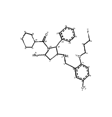 CCCCC1CC(NCc2cc(C(F)(F)F)ccc2OCCCF)C(c2ccccc2)N1C(=O)C1CCCCC1